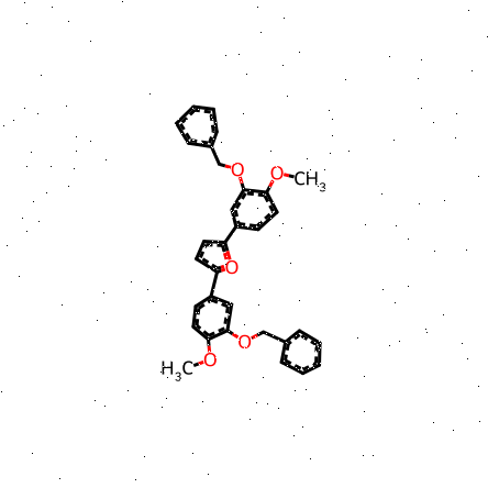 COc1ccc(-c2ccc(-c3ccc(OC)c(OCc4ccccc4)c3)o2)cc1OCc1ccccc1